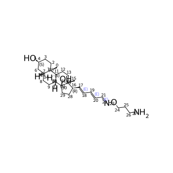 C[C@]12CC[C@H](O)C[C@H]1CC[C@@H]1[C@@H]2CC[C@]2(C)[C@@H](/C=C/C=C/C=N/OCCCN)CC[C@]12O